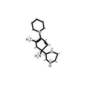 CC1=C(N2CCCCC2)C=CC(N)(C2CNCCO2)C1